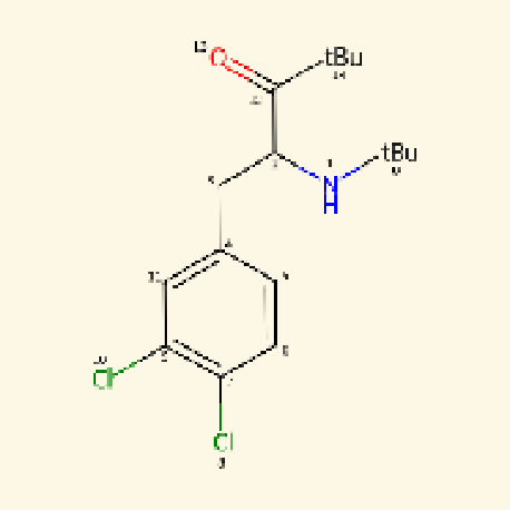 CC(C)(C)NC(Cc1ccc(Cl)c(Cl)c1)C(=O)C(C)(C)C